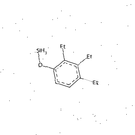 CCc1ccc(O[SiH3])c(CC)c1CC